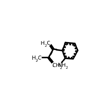 C=C(C)C(=C)c1ccccc1N